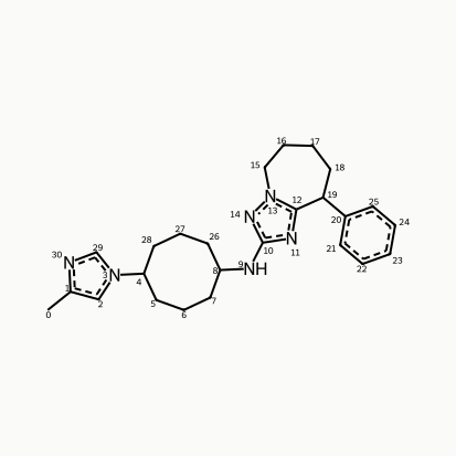 Cc1cn(C2CCCC(Nc3nc4n(n3)CCCCC4c3ccccc3)CCC2)cn1